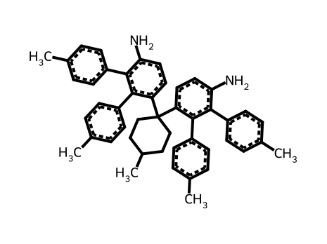 Cc1ccc(-c2c(N)ccc(C3(c4ccc(N)c(-c5ccc(C)cc5)c4-c4ccc(C)cc4)CCC(C)CC3)c2-c2ccc(C)cc2)cc1